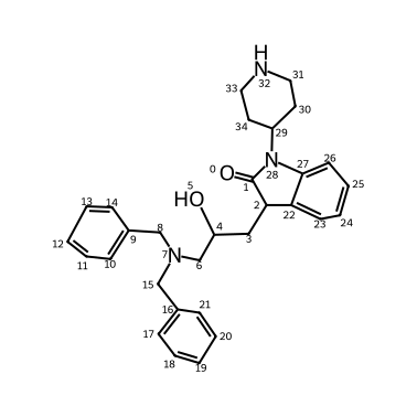 O=C1C(CC(O)CN(Cc2ccccc2)Cc2ccccc2)c2ccccc2N1C1CCNCC1